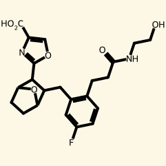 O=C(CCc1ccc(F)cc1CC1C2CCC(O2)C1c1nc(C(=O)O)co1)NCCO